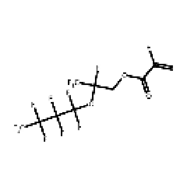 C=C(F)C(=O)OCC(F)(OC(F)(F)C(F)(F)C(F)(F)C(F)(F)F)C(F)(F)F